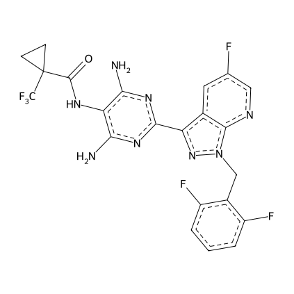 Nc1nc(-c2nn(Cc3c(F)cccc3F)c3ncc(F)cc23)nc(N)c1NC(=O)C1(C(F)(F)F)CC1